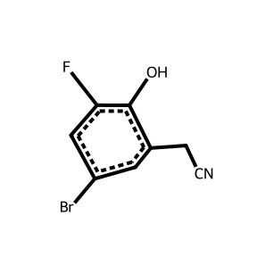 N#CCc1cc(Br)cc(F)c1O